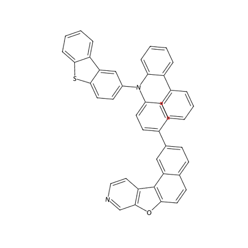 c1ccc(-c2ccccc2N(c2ccc(-c3ccc4ccc5oc6cnccc6c5c4c3)cc2)c2ccc3sc4ccccc4c3c2)cc1